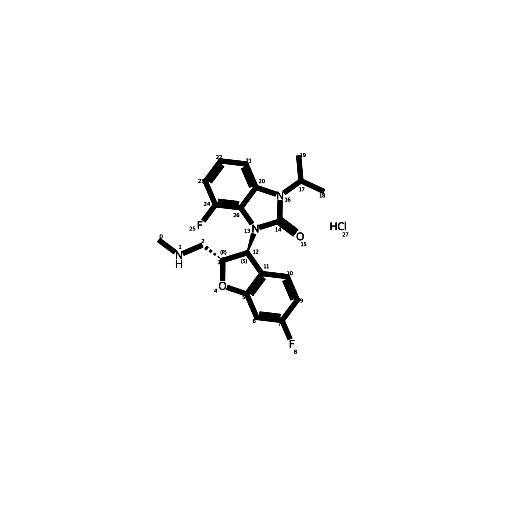 CNC[C@H]1Oc2cc(F)ccc2[C@@H]1n1c(=O)n(C(C)C)c2cccc(F)c21.Cl